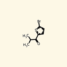 CC(C)C(=O)c1ccc(Br)s1